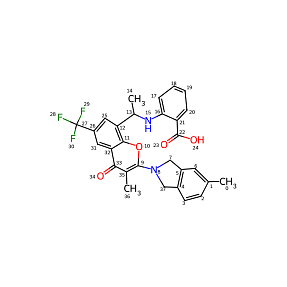 Cc1ccc2c(c1)CN(c1oc3c(C(C)Nc4ccccc4C(=O)O)cc(C(F)(F)F)cc3c(=O)c1C)C2